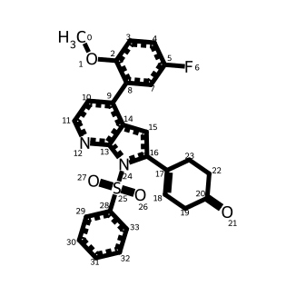 COc1ccc(F)cc1-c1ccnc2c1cc(C1=CCC(=O)CC1)n2S(=O)(=O)c1ccccc1